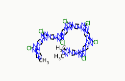 Cc1nc(C)nc(N2CCN(c3nc(Cl)nc(N4CCN(c5nc(Cl)nc(N6CCN(c7nc(Cl)nc(N8CCN(c9nc(Cl)nc(N%10CCN(c%11nc(Cl)nc(N%12CCN(c%13nc(Cl)nc(N%14CCN(c%15nc(Cl)nc(N%16CCN(C)CC%16)n%15)CC%14)n%13)CC%12)n%11)CC%10)n9)CC8)n7)CC6)n5)CC4)n3)CC2)n1